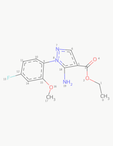 CCOC(=O)c1cnn(-c2ccc(F)cc2OC)c1N